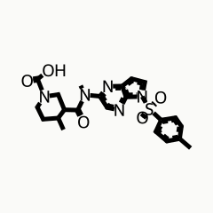 Cc1ccc(S(=O)(=O)n2ccc3nc(N(C)C(=O)C4CN(C(=O)O)CCC4C)cnc32)cc1